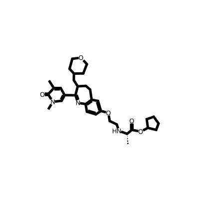 Cc1cc(C2=Nc3ccc(OCCN[C@@H](C)C(=O)OC4CCCC4)cc3CCC2CC2CCOCC2)cn(C)c1=O